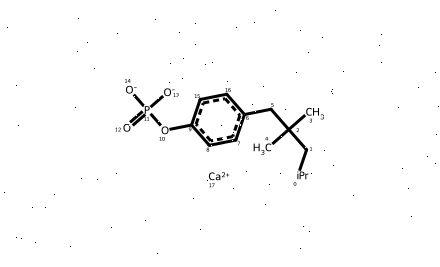 CC(C)CC(C)(C)Cc1ccc(OP(=O)([O-])[O-])cc1.[Ca+2]